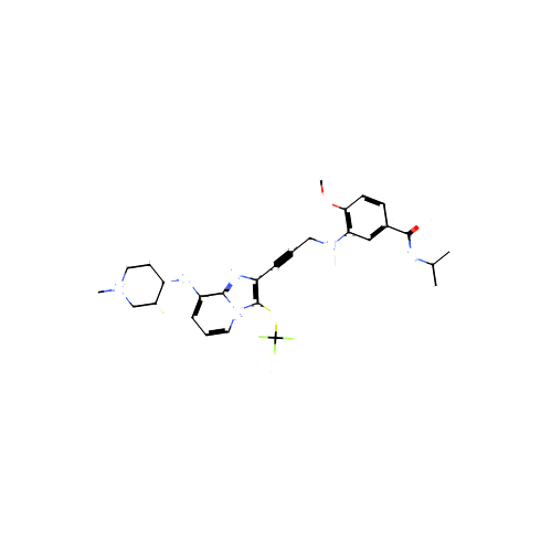 COc1ccc(C(=O)NC(C)C)cc1NCC#Cc1nc2c(N[C@@H]3CCN(C)C[C@@H]3F)cccn2c1SC(F)(F)F